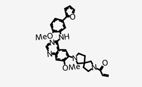 C=CC(=O)N1CCC2(CCN(c3cc4c(Nc5cc(-c6ccco6)ccc5OC)ncnc4cc3OC)C2)C1